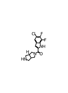 O=C(c1cc2cc(Cl)c(F)c(F)c2[nH]1)N1CC2CNC[C@@H]2C1